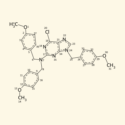 COc1ccc(CN(Cc2ccc(OC)cc2)c2nc(Cl)c3ncn(Cc4ccc(OC)cc4)c3n2)cc1